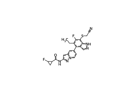 CCc1c(F)c(SCC#N)c2[nH]ncc2c1-c1ccn2nc(NC(=O)C3CC3F)cc2c1